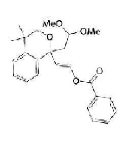 COC(CC1(C=COC(=O)c2ccccc2)OCC(C)(C)c2ccccc21)OC